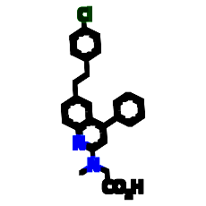 CN(CC(=O)O)c1cc(-c2ccccc2)c2cc(CCc3ccc(Cl)cc3)ccc2n1